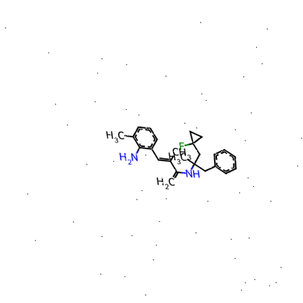 C=C(NC(C)(Cc1ccccc1)CC1(F)CC1)/C(C)=C/c1cccc(C)c1N